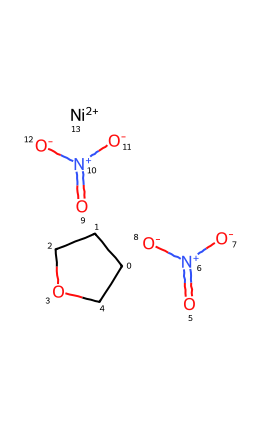 C1CCOC1.O=[N+]([O-])[O-].O=[N+]([O-])[O-].[Ni+2]